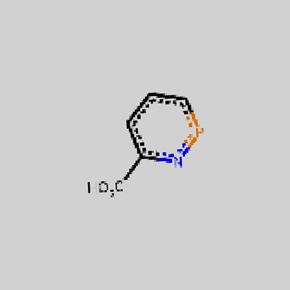 O=C(O)c1cccpn1